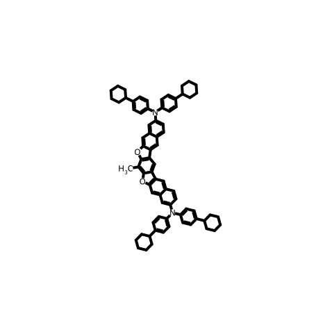 Cc1c2oc3cc4cc(N(c5ccc(C6CCCCC6)cc5)c5ccc(C6CCCCC6)cc5)ccc4cc3c2cc2c1oc1cc3cc(N(c4ccc(C5CCCCC5)cc4)c4ccc(C5CCCCC5)cc4)ccc3cc12